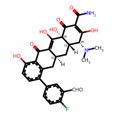 CN(C)[C@H]1C(O)=C(C(N)=O)C(=O)[C@]2(O)C(O)=C3C(=O)c4c(O)ccc(-c5ccc(F)c(C=O)c5)c4C[C@@H]3C[C@@H]12